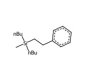 CCCC[Si](C)(CCCC)CCc1ccccc1